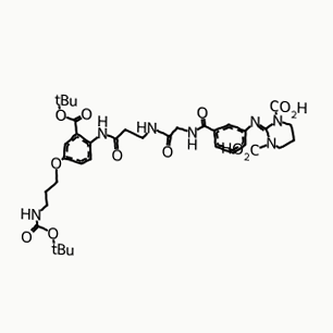 CC(C)(C)OC(=O)NCCCOc1ccc(NC(=O)CCNC(=O)CNC(=O)c2cccc(N=C3N(C(=O)O)CCCN3C(=O)O)c2)c(C(=O)OC(C)(C)C)c1